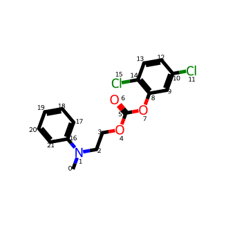 CN(CCOC(=O)Oc1cc(Cl)ccc1Cl)c1ccccc1